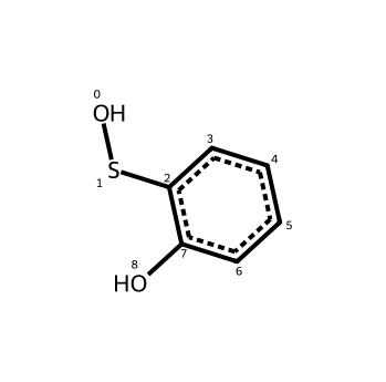 OSc1ccccc1O